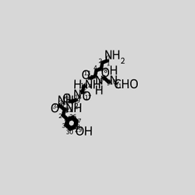 NCCCCC(NC(=O)CNC=O)C(=O)NCC(=O)NCC(=O)NC(Cc1ccc(O)cc1)C(N)=O